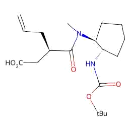 C=CC[C@H](CC(=O)O)C(=O)N(C)[C@H]1CCCC[C@@H]1NC(=O)OC(C)(C)C